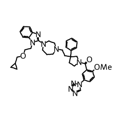 COc1ccc(-n2cnnn2)cc1C(=O)N1CCC(CCN2CCCN(c3nc4ccccc4n3CCOCC3CC3)CC2)(c2ccccc2)C1